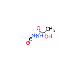 CC(O)C(=O)NN=C=O